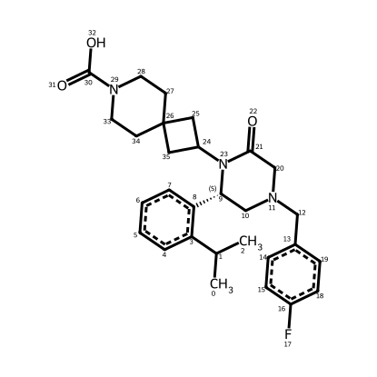 CC(C)c1ccccc1[C@H]1CN(Cc2ccc(F)cc2)CC(=O)N1C1CC2(CCN(C(=O)O)CC2)C1